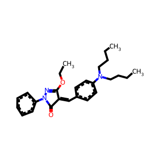 CCCCN(CCCC)c1ccc(C=C2C(=O)N(c3ccccc3)N=C2OCC)cc1